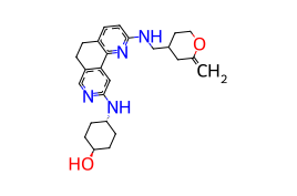 C=C1CC(CNc2ccc3c(n2)-c2cc(N[C@H]4CC[C@H](O)CC4)ncc2CC3)CCO1